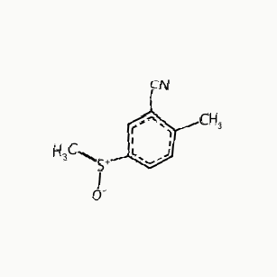 Cc1ccc([S+](C)[O-])cc1C#N